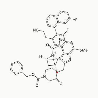 CSc1nc2c(F)c(-c3cccc4ccc(F)cc34)c(CCC#N)cc2c2c1cc(CN1CCN(C(=O)OCc3ccccc3)CC1=O)n2[C@H]1[C@@H]2C[C@H]1N(C(=O)OC(C)(C)C)C2